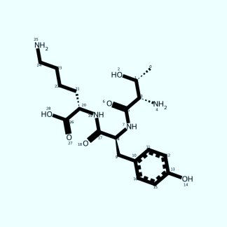 C[C@@H](O)[C@H](N)C(=O)N[C@@H](Cc1ccc(O)cc1)C(=O)N[C@@H](CCCCN)C(=O)O